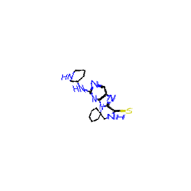 S=C1NCC2(CCCCC2)n2c1nc1cnc(N[C@@H]3CCCNC3)nc12